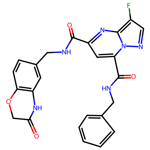 O=C1COc2ccc(CNC(=O)c3cc(C(=O)NCc4ccccc4)n4ncc(F)c4n3)cc2N1